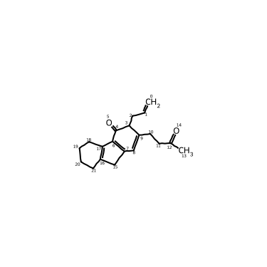 C=CCC1C(=O)C2=C(C=C1CCC(C)=O)CC1=C2CCCC1